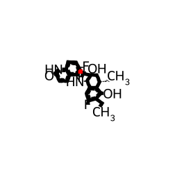 CCc1c(F)cc2c(c1O)[C@@H](CC)C[C@](O)(C(F)(F)F)[C@H]2Nc1cccc2[nH]c(=O)ccc12